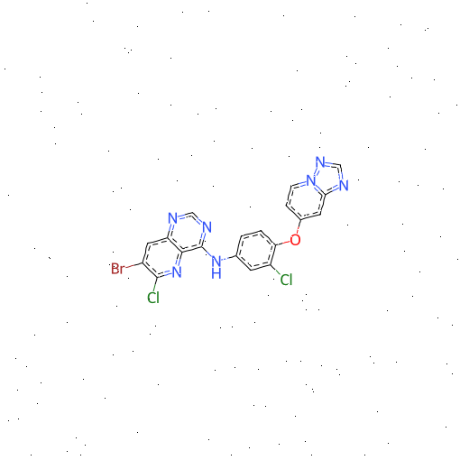 Clc1cc(Nc2ncnc3cc(Br)c(Cl)nc23)ccc1Oc1ccn2ncnc2c1